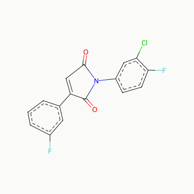 O=C1C=C(c2cccc(F)c2)C(=O)N1c1ccc(F)c(Cl)c1